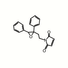 O=C1C=CC(=O)N1CCC1(c2ccccc2)OC1c1ccccc1